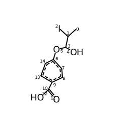 CC(I)C(O)Oc1ccc(C(=O)O)cc1